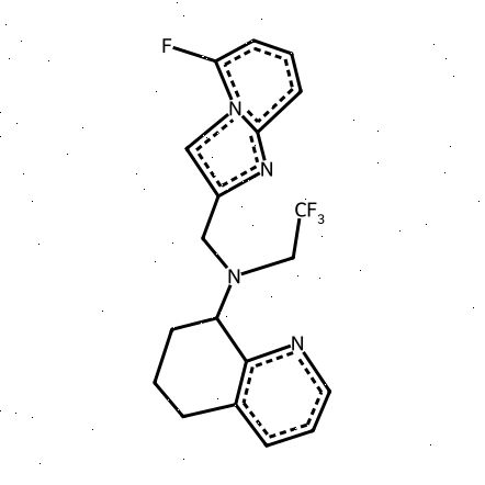 Fc1cccc2nc(CN(CC(F)(F)F)C3CCCc4cccnc43)cn12